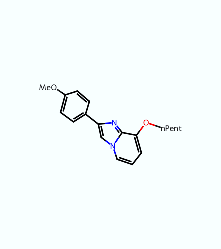 CCCCCOc1cccn2cc(-c3ccc(OC)cc3)nc12